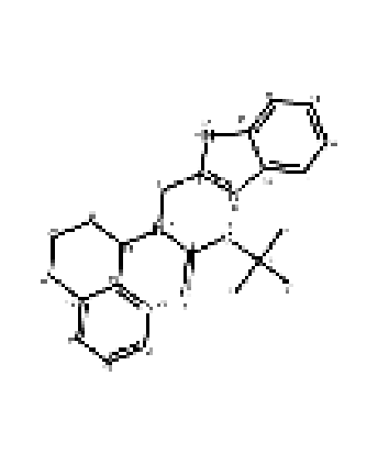 CC(C)(C)OC(=O)N(Cc1nc2ccccc2[nH]1)C1CCCc2cccnc21